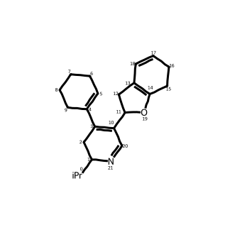 CC(C)C1CC(C2=CCCCC2)=C(C2CC3=C(CCC=C3)O2)C=N1